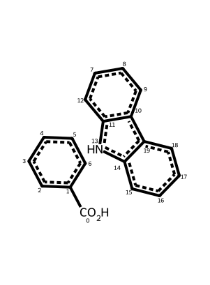 O=C(O)c1ccccc1.c1ccc2c(c1)[nH]c1ccccc12